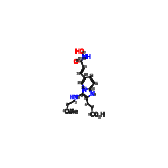 COCCNc1c(CCC(=O)O)nc2ccc(C=CC(=O)NO)cn12